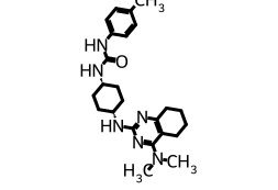 Cc1ccc(NC(=O)N[C@H]2CC[C@@H](Nc3nc4c(c(N(C)C)n3)CCCC4)CC2)cc1